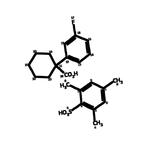 Cc1cc(C)c(S(=O)(=O)O)c(C)c1.O=C(O)C1(c2cccc(F)c2)CCCCC1